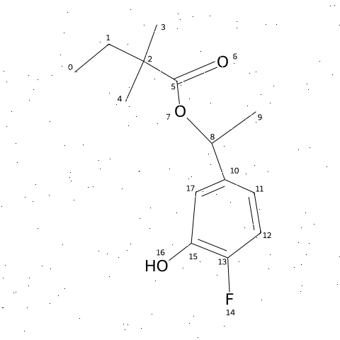 CCC(C)(C)C(=O)OC(C)c1ccc(F)c(O)c1